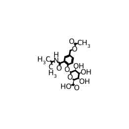 CC(=O)OCc1ccc(O[C@@H]2O[C@H](C(=O)O)[C@@H](O)[C@H](O)[C@H]2O)c(C(=O)NC(C)C)c1